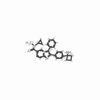 CN(C(=O)c1ccc2nc(-c3ccc(C4(N)CCC4)cc3)c(-c3ccccc3)n2c1)C1CC1